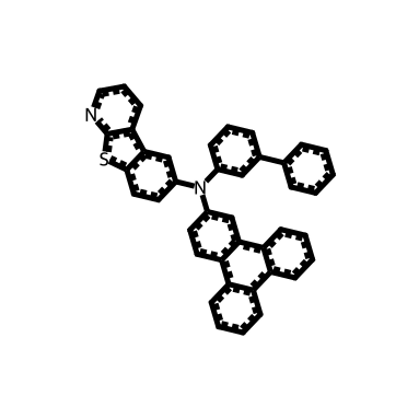 c1ccc(-c2cccc(N(c3ccc4sc5ncccc5c4c3)c3ccc4c5ccccc5c5ccccc5c4c3)c2)cc1